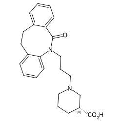 O=C(O)[C@@H]1CCCN(CCCN2C(=O)c3ccccc3CCc3ccccc32)C1